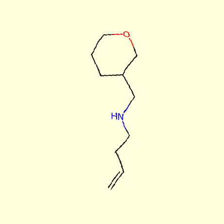 C=CCCNCC1CCCOC1